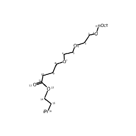 CCCCCCCCOCCOCCOCCCC(=O)OCCC(C)C